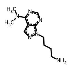 CN(C)c1ncnc2c1cnn2CCCCN